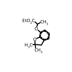 CCOC(=O)C(C)Oc1cccc2c1OC(C)(C)C2